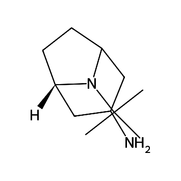 CC(C)(C)N1C2CC[C@H]1CC(N)C2